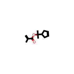 C=C(C)C(=O)OC(C)(C)C1CC=CC1